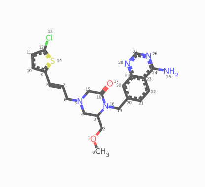 COCC1CN(CC=Cc2ccc(Cl)s2)CC(=O)N1Cc1ccc2c(N)ncnc2c1